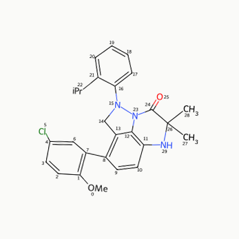 COc1ccc(Cl)cc1-c1ccc2c3c1CN(c1ccccc1C(C)C)N3C(=O)C(C)(C)N2